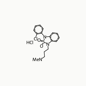 CNCCCN1c2ccccc2N(c2ccccc2Cl)S1(=O)=O.Cl